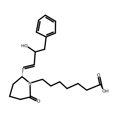 O=C(O)CCCCCCN1C(=O)CCC[C@@H]1/C=C/C(O)Cc1ccccc1